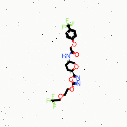 O=C(COc1ccc(C(F)(F)F)cc1)N[C@H]1CC[C@H](c2nnc(OCCOCC(F)(F)F)o2)OC1